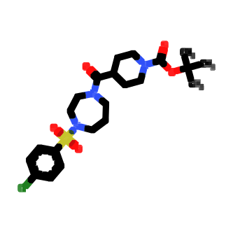 CC(C)(C)OC(=O)N1CCC(C(=O)N2CCCN(S(=O)(=O)c3ccc(Cl)cc3)CC2)CC1